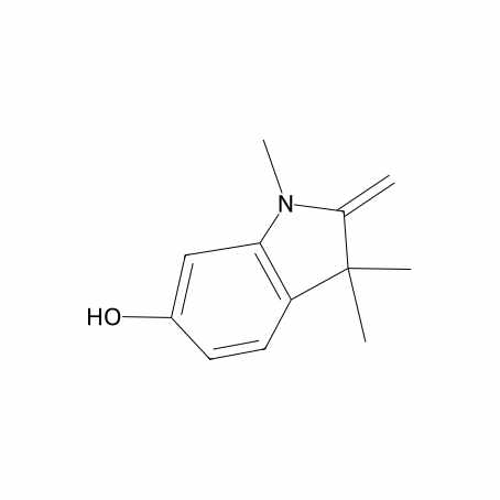 C=C1N(C)c2cc(O)ccc2C1(C)C